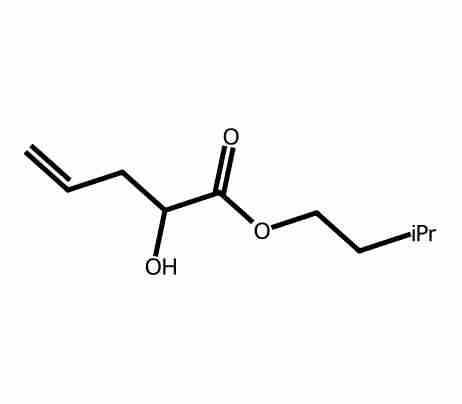 C=CCC(O)C(=O)OCCC(C)C